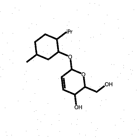 CC1CCC(C(C)C)C(OC2C=CC(O)C(CO)O2)C1